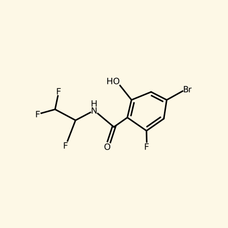 O=C(NC(F)C(F)F)c1c(O)cc(Br)cc1F